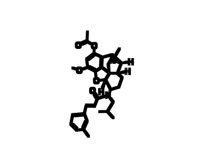 COc1cc(OC(C)=O)c2c3c1O[C@H]1[C@@H](N(CC(C)C)C(=O)C=Cc4cccc(C)c4)CC[C@H]4[C@@H](C2)N(C)CC[C@@]341